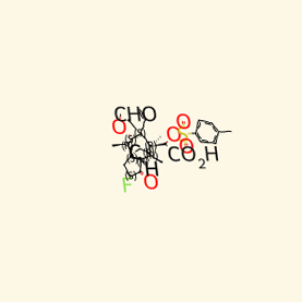 C=C[C@]1(C)C[C@@H](C(OS(=O)(=O)c2ccc(C)cc2)C(=O)O)[C@@]2(C)[C@H](C)CC[C@]3(C[C@H](F)C(=O)[C@H]32)[C@@H](C)[C@@H]1OC=O